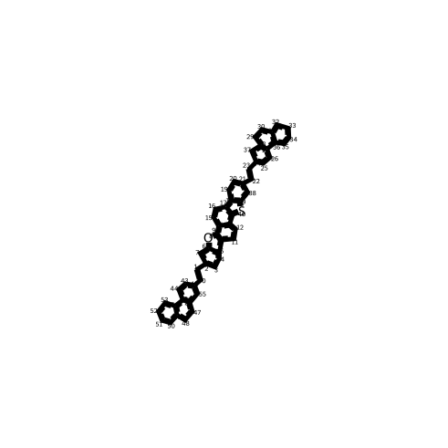 C(=C\c1ccc2c(c1)oc1c2ccc2c1ccc1c3ccc(/C=C/c4ccc5c(ccc6ccccc65)c4)cc3sc12)/c1ccc2c(ccc3ccccc32)c1